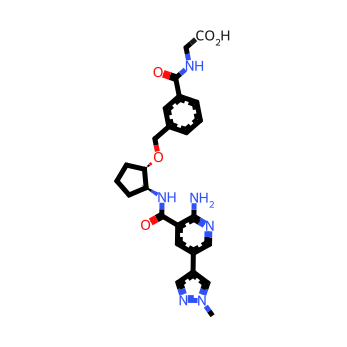 Cn1cc(-c2cnc(N)c(C(=O)N[C@H]3CCC[C@@H]3OCc3cccc(C(=O)NCC(=O)O)c3)c2)cn1